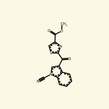 COC(=O)c1csc(C(=O)c2cn(C#N)c3ccccc23)n1